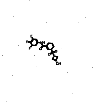 O=C(NC1=CC(F)=C(F)C(F)C1)C1=CC(S(=O)(=O)N2CC(O)C2)CCC1